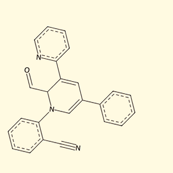 N#Cc1ccccc1N1C=C(c2ccccc2)C=C(c2ccccn2)C1C=O